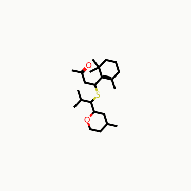 CC(=O)CC(SC(C(C)C)C1CC(C)CCO1)C1=C(C)CCCC1(C)C